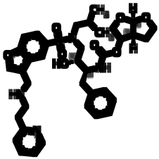 CC(C)CN(C[C@@H](O)[C@H](Cc1ccccc1)NC(=O)OC1CO[C@H]2OCC[C@@H]12)S(=O)(=O)c1ccc2occ(CNCCc3ccccn3)c2c1